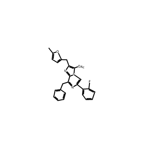 CC(=O)Oc1c(Cc2ccc(C)o2)nc2c(Cc3ccccc3)nc(-c3ccccc3F)cn12